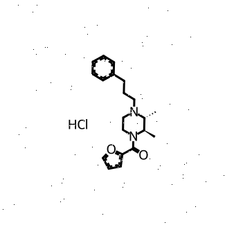 C[C@@H]1[C@@H](C)N(C(=O)c2ccco2)CCN1CCCc1ccccc1.Cl